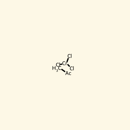 CC(C)=O.[Cl][Cr]([Cl])[Cl]